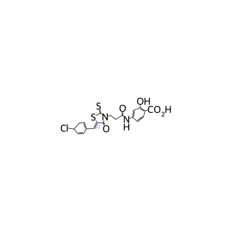 O=C(CCN1C(=O)/C(=C/C2=CCC(Cl)C=C2)SC1=S)Nc1ccc(C(=O)O)c(O)c1